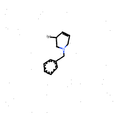 [2H]C1C=CCN(Cc2ccccc2)C1